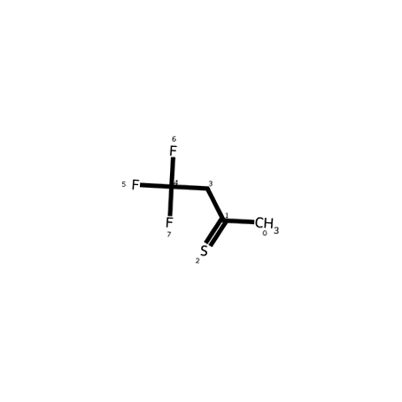 CC(=S)CC(F)(F)F